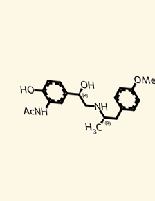 COc1ccc(C[C@@H](C)NC[C@H](O)c2ccc(O)c(NC(C)=O)c2)cc1